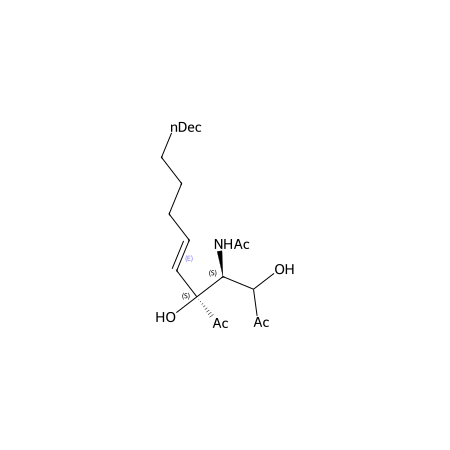 CCCCCCCCCCCCC/C=C/[C@@](O)(C(C)=O)[C@@H](NC(C)=O)C(O)C(C)=O